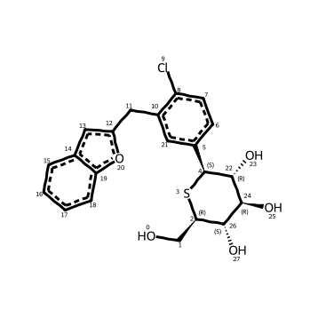 OC[C@H]1S[C@@H](c2ccc(Cl)c(Cc3cc4ccccc4o3)c2)[C@H](O)[C@@H](O)[C@@H]1O